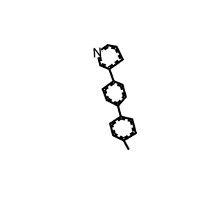 Cc1ccc(-c2ccc(-c3cccnc3)cc2)cc1